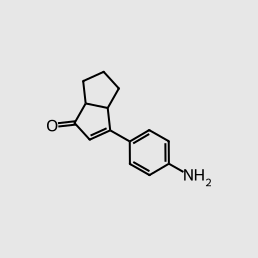 Nc1ccc(C2=CC(=O)C3CCCC23)cc1